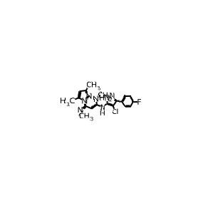 C=N/C(=C\C(=N/C)n1nc(C)cc1C)Nc1[nH]nc(-c2ccc(F)cc2)c1Cl